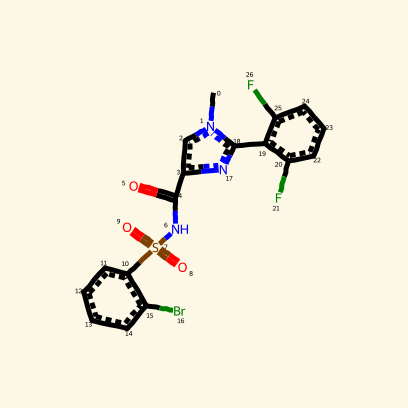 Cn1cc(C(=O)NS(=O)(=O)c2ccccc2Br)nc1-c1c(F)cccc1F